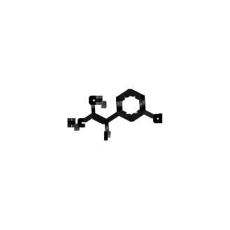 CC(C)=C(F)c1cccc(Cl)c1